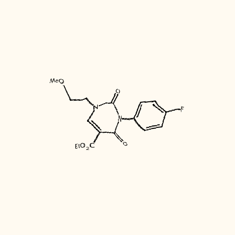 CCOC(=O)c1cn(CCOC)c(=O)n(-c2ccc(F)cc2)c1=O